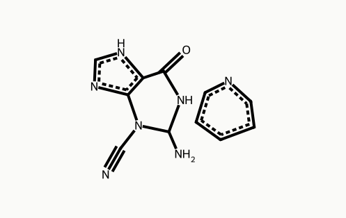 N#CN1c2nc[nH]c2C(=O)NC1N.c1ccncc1